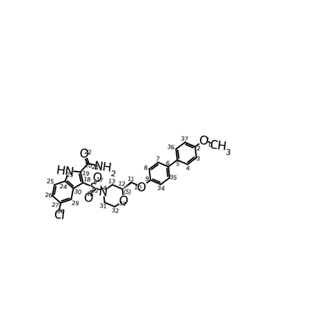 COc1ccc(-c2ccc(OC[C@@H]3CN(S(=O)(=O)c4c(C(N)=O)[nH]c5ccc(Cl)cc45)CCO3)cc2)cc1